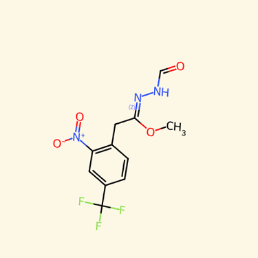 CO/C(Cc1ccc(C(F)(F)F)cc1[N+](=O)[O-])=N\NC=O